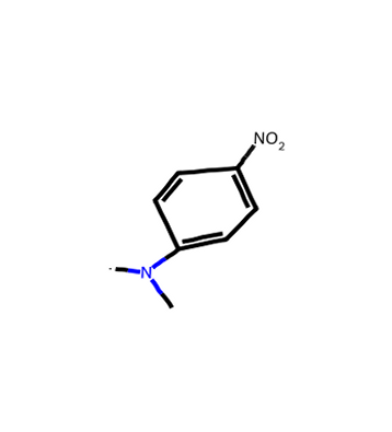 [CH2]N(C)c1ccc([N+](=O)[O-])cc1